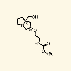 CC(C)(C)OC(=O)NCCO[C@H]1CN2CCC[C@]2(CO)C1